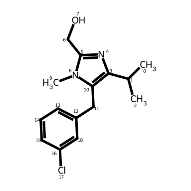 CC(C)c1nc(CO)n(C)c1Cc1cccc(Cl)c1